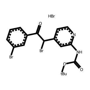 Br.CC(C)(C)OC(=O)Nc1cc(C(Br)C(=O)c2cccc(Br)c2)ccn1